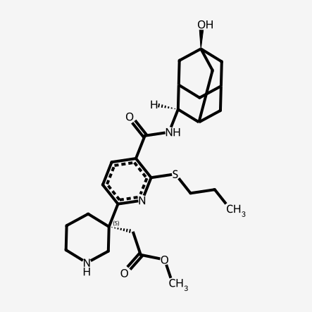 CCCSc1nc([C@]2(CC(=O)OC)CCCNC2)ccc1C(=O)N[C@H]1C2CC3CC1C[C@@](O)(C3)C2